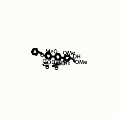 COCC(O)c1cc(OC)c(-c2cc(OC)c(-c3ccc(OCc4ccccc4)c(OS(C)(=O)=O)c3)c(OS(C)(=O)=O)c2OC)c(OC)c1